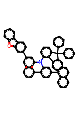 c1ccc(-c2ccc(-c3cccc4ccccc34)cc2N(c2cccc(-c3ccc4c(c3)oc3ccccc34)c2)c2cccc3c2-c2ccccc2C3(c2ccccc2)c2ccccc2)cc1